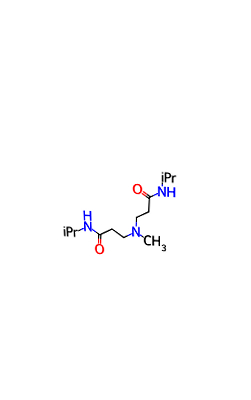 CC(C)NC(=O)CCN(C)CCC(=O)NC(C)C